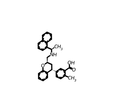 Cc1ccc([C@H]2C[C@H](CN[C@H](C)c3cccc4ccccc34)Oc3ccccc32)cc1C(=O)O